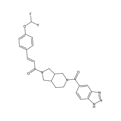 O=C(C=Cc1ccc(OC(F)F)cc1)N1CC2CCN(C(=O)c3ccc4[nH]nnc4c3)CC2C1